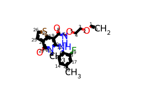 C=COCCONC(=O)c1c(Nc2ccc(C)cc2F)n(C)c(=O)c2ccsc12